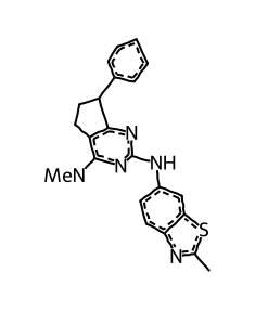 CNc1nc(Nc2ccc3nc(C)sc3c2)nc2c1CCC2c1ccccc1